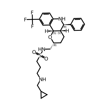 O=S(=O)(CCCNCC1CC1)NC[C@H]1CC[C@@H]2[C@H](O1)c1cc(C(F)(F)F)ccc1N[C@H]2c1ccccc1